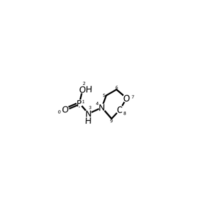 O=[P](O)NN1CCOCC1